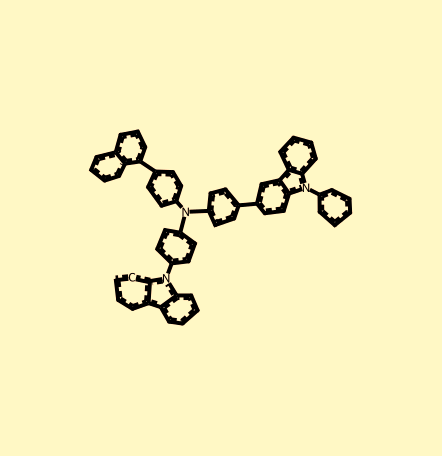 c1ccc(-n2c3ccccc3c3cc(-c4ccc(N(c5ccc(-c6cccc7ccccc67)cc5)c5ccc(-n6c7ccccc7c7ccccc76)cc5)cc4)ccc32)cc1